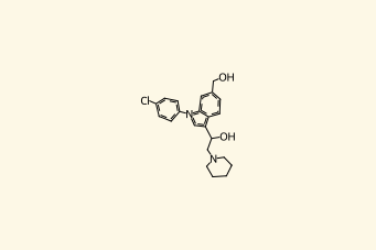 OCc1ccc2c(C(O)CN3CCCCC3)cn(-c3ccc(Cl)cc3)c2c1